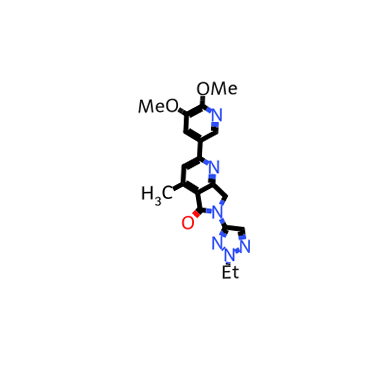 CCn1ncc(N2Cc3nc(-c4cnc(OC)c(OC)c4)cc(C)c3C2=O)n1